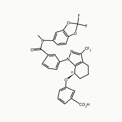 CN(C(=O)c1cccc(-n2nc(C(F)(F)F)c3c2[C@H](Oc2cccc(C(=O)O)c2)CCC3)c1)c1ccc2c(c1)OC(F)(F)O2